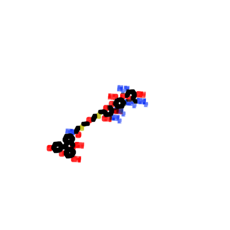 NC[C@H]1OC(OC2C(O)[C@@H](O[C@H]3OC(CSCCOCCSCC(=O)Nc4ccc(-c5c6ccc(=O)cc-6oc6cc(O)ccc56)c(C(=O)O)c4)[C@@H](O)C(N)C3O)C(N)C[C@@H]2N)[C@H](N)CC1O